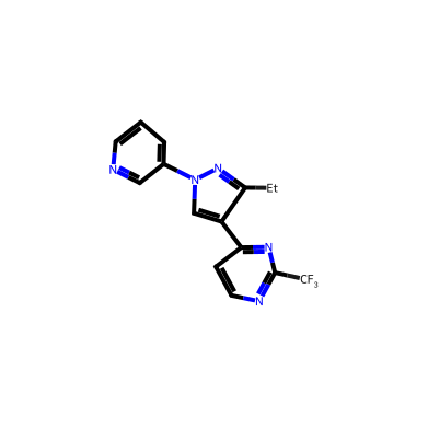 CCc1nn(-c2cccnc2)cc1-c1ccnc(C(F)(F)F)n1